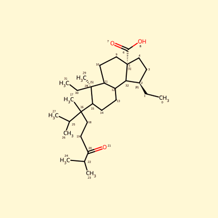 CC[C@@H]1CC[C@]2(C(=O)O)CCC3C(CCC(C(C)(CCC(=O)C(C)C)C(C)C)[C@@]3(C)CC)C12